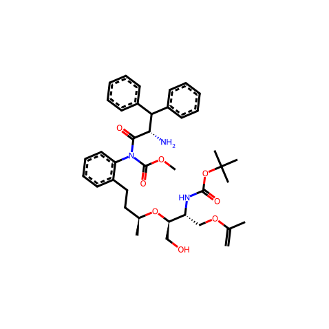 C=C(C)OC[C@@H](NC(=O)OC(C)(C)C)[C@@H](CO)O[C@@H](C)CCc1ccccc1N(C(=O)OC)C(=O)[C@@H](N)C(c1ccccc1)c1ccccc1